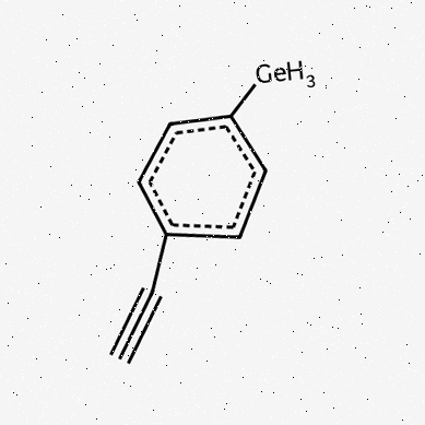 C#Cc1cc[c]([GeH3])cc1